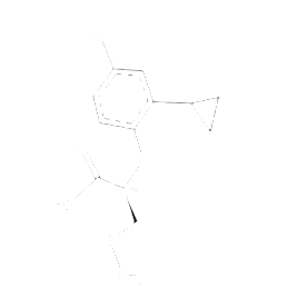 COC[C@H](Oc1ccc(Cl)cc1C1CC1)C(=O)O